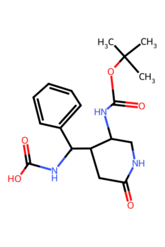 CC(C)(C)OC(=O)NC1CNC(=O)CC1[C](NC(=O)O)c1ccccc1